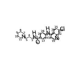 O=C(NCCCN1CCCCC1)c1ccc(Nc2ccnc3cc(Cl)ccc23)cc1